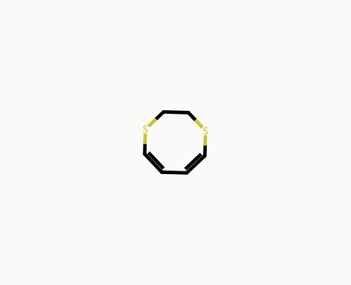 C1=CSCCS/C=C\1